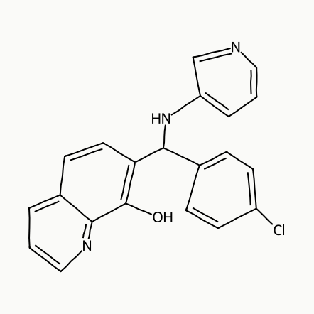 Oc1c(C(Nc2cccnc2)c2ccc(Cl)cc2)ccc2cccnc12